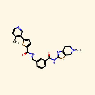 Cc1ccncc1-c1ccc(C(=O)NCc2cccc(C(=O)Nc3nc4c(s3)CN(C)CC4)c2)s1